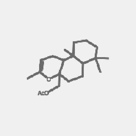 CC(=O)OCC12CCC3C(C)(C)CCCC3(C)C1CC=C(C)O2